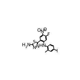 Cc1cc(I)ccc1Nc1cc(F)c([N+](=O)[O-])cc1-c1nnc(N)s1